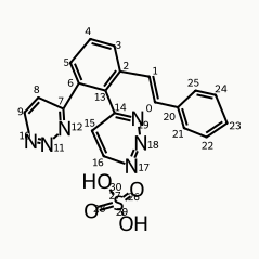 C(=Cc1cccc(-c2ccnnn2)c1-c1ccnnn1)c1ccccc1.O=S(=O)(O)O